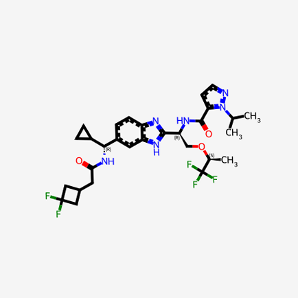 CC(C)n1nccc1C(=O)N[C@@H](CO[C@@H](C)C(F)(F)F)c1nc2ccc([C@H](NC(=O)CC3CC(F)(F)C3)C3CC3)cc2[nH]1